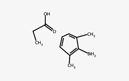 CCC(=O)O.Cc1cccc(C)[c]1[BiH2]